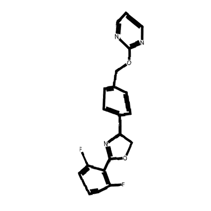 Fc1cccc(F)c1C1=NC(c2ccc(COc3ncccn3)cc2)CO1